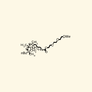 CCCC[Si](C)(C)O[Si](C)(C)O[Si](C)(C)CCCNC(=O)OCCOCCOCCOC